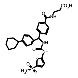 CS(=O)(=O)c1ccc(NC(=O)NC(c2ccc(C(=O)NCCC(=O)O)cc2)c2ccc(C3CCCCC3)cc2)s1